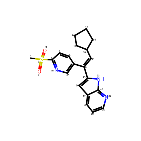 CS(=O)(=O)c1ccc(C(=CC2CCCC2)c2cc3cccnc3[nH]2)cn1